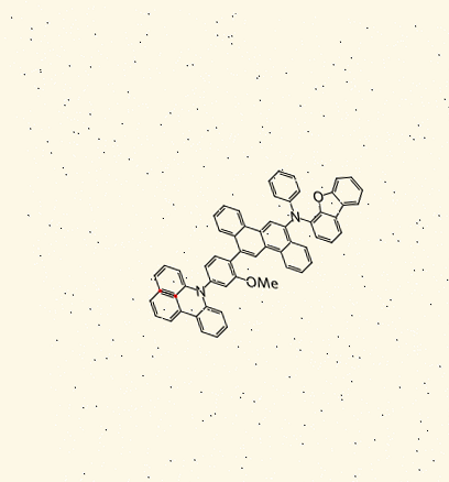 COc1cc(N(c2ccccc2)c2ccccc2-c2ccccc2)ccc1-c1cc2c3ccccc3c(N(c3ccccc3)c3cccc4c3oc3ccccc34)cc2c2ccccc12